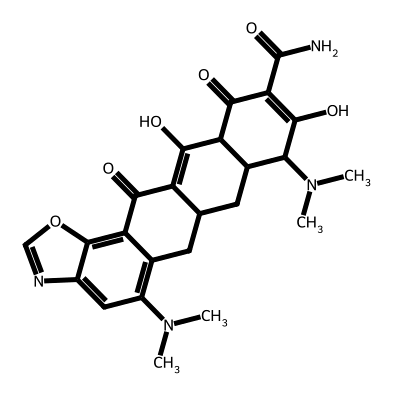 CN(C)c1cc2ncoc2c2c1CC1CC3C(C(=O)C(C(N)=O)=C(O)C3N(C)C)C(O)=C1C2=O